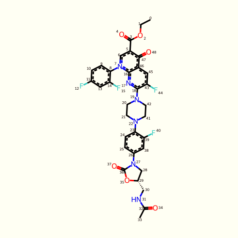 CCOC(=O)c1cn(-c2ccc(F)cc2F)c2nc(N3CCN(c4ccc(N5C[C@H](CNC(C)=O)OC5=O)cc4F)CC3)c(F)cc2c1=O